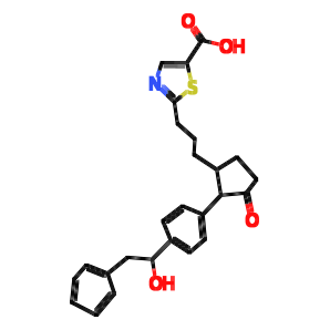 O=C(O)c1cnc(CCCC2CCC(=O)C2c2ccc(C(O)Cc3ccccc3)cc2)s1